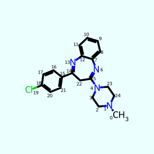 CN1CCN(C2=Nc3ccccc3N=C(c3ccc(Cl)cc3)C2)CC1